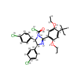 CCOc1cc(C(C)(C)C)c(OCC)cc1C1=N[C@@H](c2ccc(Cl)cc2)[C@@H](c2ccc(Cl)cc2)N1C(=O)Cl